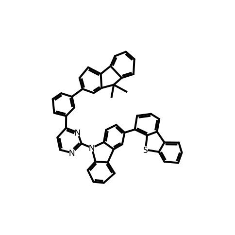 CC1(C)c2ccccc2-c2ccc(-c3cccc(-c4ccnc(-n5c6ccccc6c6cc(-c7cccc8c7sc7ccccc78)ccc65)n4)c3)cc21